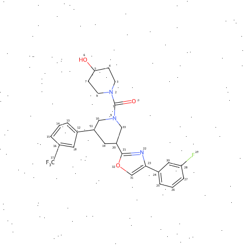 O=C(N1CCC(O)CC1)N1CC(c2cccc(C(F)(F)F)c2)CC(c2nc(-c3cccc(F)c3)co2)C1